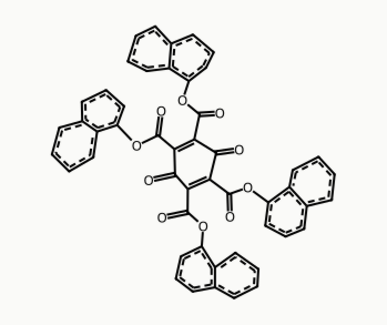 O=C(Oc1cccc2ccccc12)C1=C(C(=O)Oc2cccc3ccccc23)C(=O)C(C(=O)Oc2cccc3ccccc23)=C(C(=O)Oc2cccc3ccccc23)C1=O